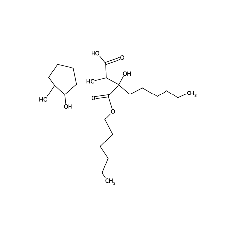 CCCCCCOC(=O)C(O)(CCCCCC)C(O)C(=O)O.OC1CCCCC1O